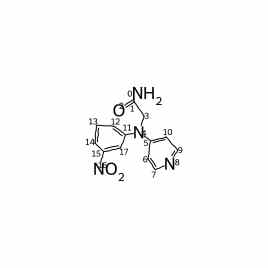 NC(=O)CN(c1ccncc1)c1cccc([N+](=O)[O-])c1